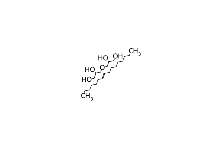 CCCCCCC=CCCCCCCCC.OCC(O)COCC(O)CO